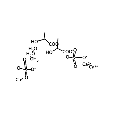 CC(O)C(=O)[O-].CC(O)C(=O)[O-].O.O.O.O=S(=O)([O-])[O-].O=S(=O)([O-])[O-].[Ca+2].[Ca+2].[Ca+2]